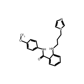 O=C(Nc1ccc(OC(F)(F)F)cc1)c1ccccc1NCCCn1ccnc1